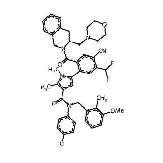 COc1cccc(CN(C(=O)c2cc(-c3cc(C(F)F)c(C#N)cc3C(=O)N3Cc4ccccc4C[C@H]3CN3CCOCC3)n(C)c2C)c2ccc(Cl)cc2)c1C